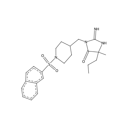 CCCC1(C)NC(=N)N(CC2CCN(S(=O)(=O)c3ccc4ccccc4c3)CC2)C1=O